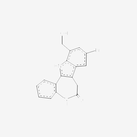 O=C1Cc2c([nH]c3c(CO)cc(Br)cc23)-c2ccccc2N1